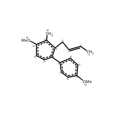 CC=CCc1c(-c2ccc(OC)cc2)ccc(OC)c1C